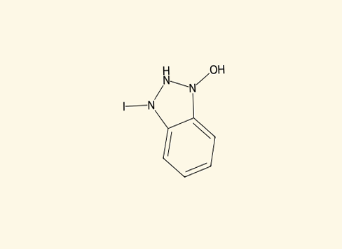 ON1NN(I)c2ccccc21